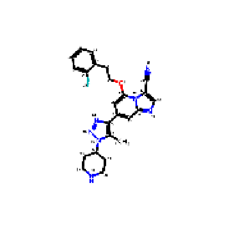 Cc1c(-c2cc(OCCc3ccccc3F)n3c(C#N)cnc3c2)nnn1C1CCNCC1